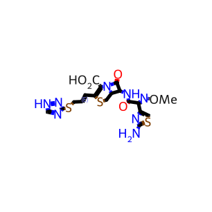 CON=C(C(=O)NC1C(=O)N2C(C(=O)O)=C(/C=C/CSc3nc[nH]n3)SCC12)c1csc(N)n1